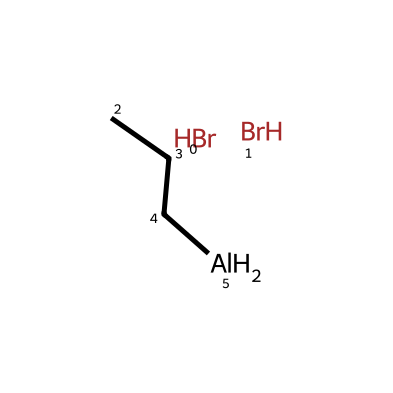 Br.Br.CC[CH2][AlH2]